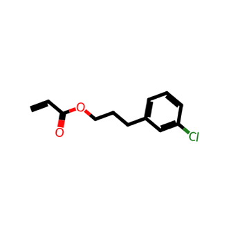 C=CC(=O)OCCCc1cccc(Cl)c1